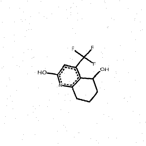 Oc1cc(C(F)(F)F)c2c(n1)CCCC2O